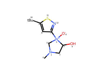 CN1CC(O)[N+]([O-])(c2cc(C(C)(C)C)sn2)C1